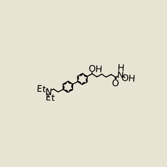 CCN(CC)CCc1ccc(-c2ccc(C(O)CCCCC(=O)NO)cc2)cc1